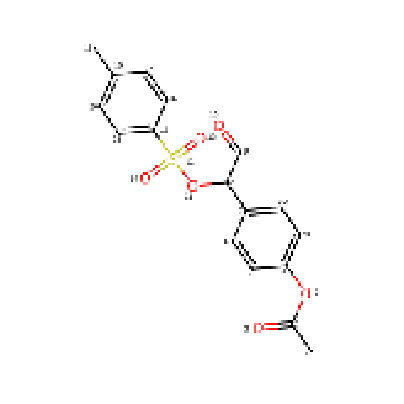 CC(=O)Oc1ccc(C(C=O)OS(=O)(=O)c2ccc(C)cc2)cc1